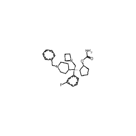 NC(=O)O[C@H]1CCC[C@@H]1C(CN1CCC1)(c1cccc(F)c1)C1CCN(Cc2ccccc2)CC1